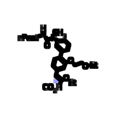 CCCCCNC(=O)N(C)c1cccc(-c2ccc(/C=C(\OCC)C(=O)O)cc2OCCOCC)c1